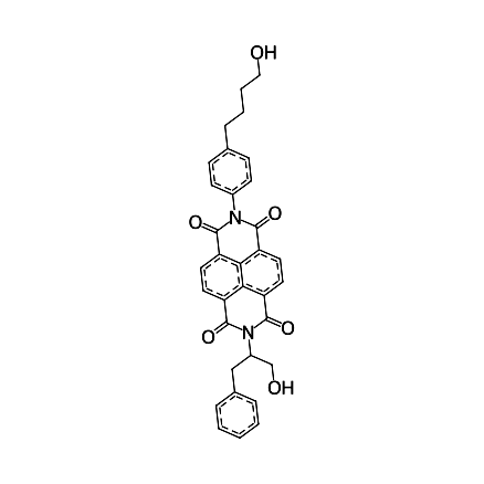 O=C1c2ccc3c4c(ccc(c24)C(=O)N1c1ccc(CCCCO)cc1)C(=O)N(C(CO)Cc1ccccc1)C3=O